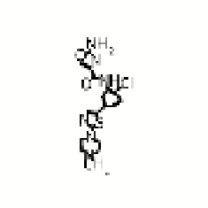 CN1CCN(c2ncc(-c3ccc(Cl)c(NC(=O)c4coc(N)n4)c3)s2)CC1